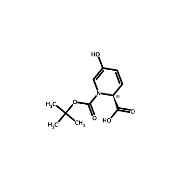 CC(C)(C)OC(=O)N1C=C(O)C=C[C@H]1C(=O)O